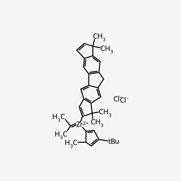 C[C](C)=[Zr+2]([C]1=CC(C(C)(C)C)=CC1C)[C]1=Cc2cc3c(cc2C1(C)C)Cc1cc2c(cc1-3)C=CC2(C)C.[Cl-].[Cl-]